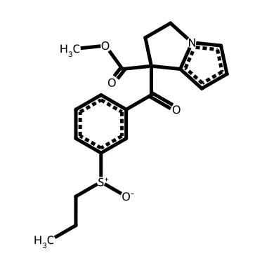 CCC[S+]([O-])c1cccc(C(=O)C2(C(=O)OC)CCn3cccc32)c1